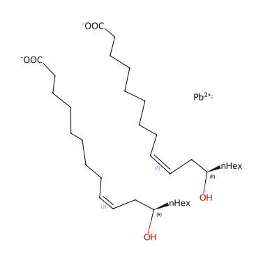 CCCCCC[C@@H](O)C/C=C\CCCCCCCC(=O)[O-].CCCCCC[C@@H](O)C/C=C\CCCCCCCC(=O)[O-].[Pb+2]